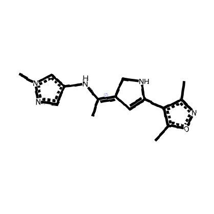 C/C(Nc1cnn(C)c1)=C1\C=C(c2c(C)noc2C)NC1